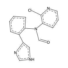 O=CN(c1ccccc1-c1c[nH]cn1)c1cccnc1Cl